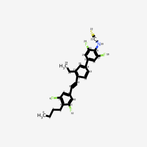 CCCCc1c(F)cc(C#Cc2ccc(-c3cc(F)c(N=C=S)c(F)c3)cc2CC)cc1F